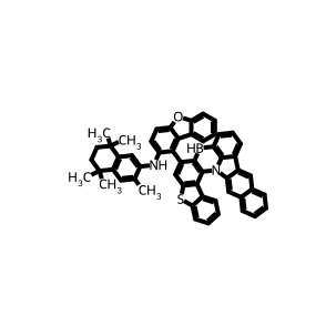 Cc1cc2c(cc1Nc1ccc3oc4ccccc4c3c1-c1cc3sc4ccccc4c3c3c1Bc1cccc4c5cc6ccccc6cc5n-3c14)C(C)(C)CCC2(C)C